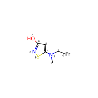 CC(C)CN(C)c1cc(O)ns1